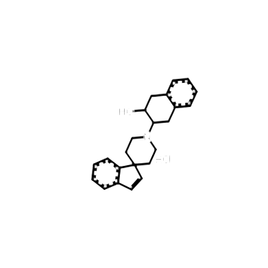 Cl.OC1Cc2ccccc2CC1N1CCC2(C=Cc3ccccc32)CC1